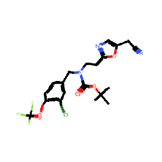 CC(C)(C)OC(=O)N(CCc1ncc(CC#N)o1)Cc1ccc(OC(F)(F)F)c(Cl)c1